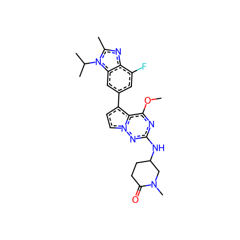 COc1nc(NC2CCC(=O)N(C)C2)nn2ccc(-c3cc(F)c4nc(C)n(C(C)C)c4c3)c12